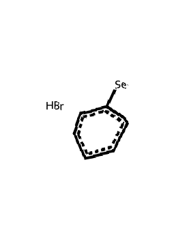 Br.[Se]c1ccccc1